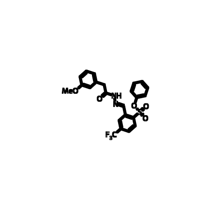 COc1cccc(CC(=O)NN=Cc2cc(C(F)(F)F)ccc2S(=O)(=O)Oc2ccccc2)c1